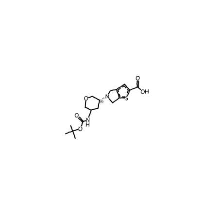 CC(C)(C)OC(=O)NC1COC[C@H](N2Cc3cc(C(=O)O)sc3C2)C1